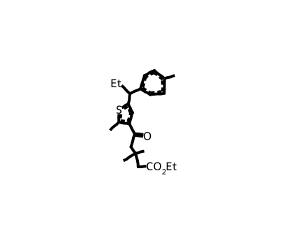 CCOC(=O)CC(C)(C)CC(=O)c1cc(C(CC)c2ccc(C)cc2)sc1C